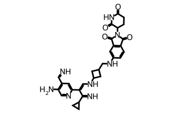 N=Cc1cc(/C(=C/NC2CC(CNc3ccc4c(c3)C(=O)N(C3CCC(=O)NC3=O)C4=O)C2)C(=N)C2CC2)ncc1N